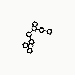 c1ccc(-c2ccc(-c3nc(-c4cccc(-c5ccc6c(c5)C5(CCCCC5)c5ccccc5S6)c4)nc4ccccc34)cc2)cc1